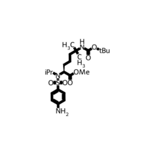 COC(=O)[C@H](CCCC(C)(C)NC(=O)OC(C)(C)C)N(C(C)C)S(=O)(=O)c1ccc(N)cc1